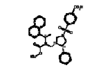 C[C@H](c1cccc2ccccc12)N(C[C@@H]1CN(S(=O)(=O)c2ccc(C(=O)O)cc2)C[C@@H]1c1ccccc1)C(=O)OC(C)(C)C